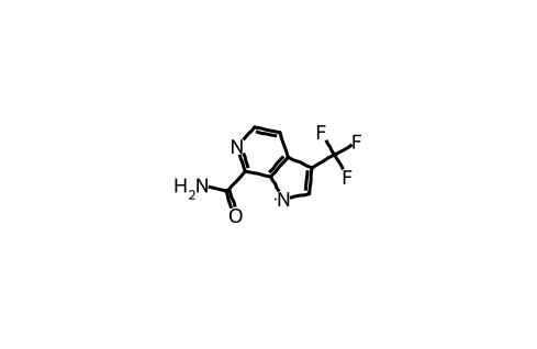 NC(=O)c1nccc2c1[N]C=C2C(F)(F)F